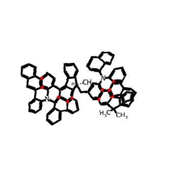 CC1(C)c2ccccc2-c2c(-c3ccccc3N(c3cc(C[C@]4(C)c5ccccc5-c5c(-c6ccccc6N(c6ccccc6-c6ccc7ccccc7c6)c6cc7ccccc7c7ccccc67)cccc54)ccc3-c3ccc4ccccc4c3)c3cccc4ccccc34)cccc21